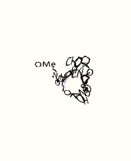 COCCN(C)C(=O)O[C@H]1/C=C/COC(C)(C)C(=O)NS(=O)(=O)c2ccc3c(c2)N(C[C@@H]2CC[C@H]21)C[C@@]1(CCCc2cc(Cl)ccc21)CO3